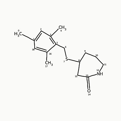 Cc1cc(C)c(CSC2CCCNC(=O)C2)c(C)c1